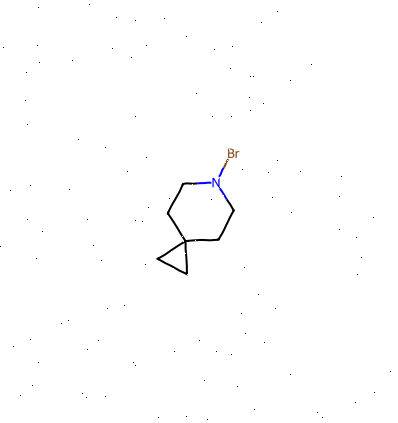 BrN1CCC2(CC1)CC2